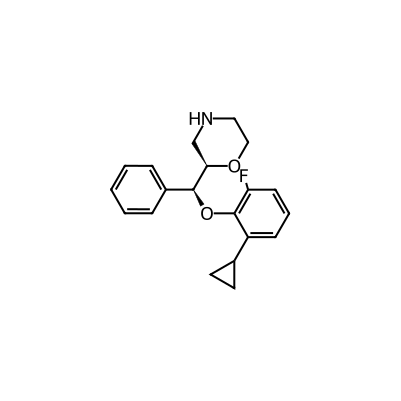 Fc1cccc(C2CC2)c1O[C@@H](c1ccccc1)[C@H]1CNCCO1